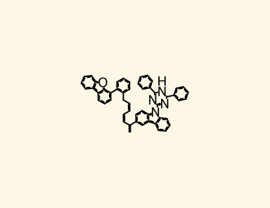 C=C(/C=C\C=C/Cc1ccccc1-c1cccc2c1oc1ccccc12)c1ccc2c(c1)c1ccccc1n2C1=NC(c2ccccc2)NC(c2ccccc2)=N1